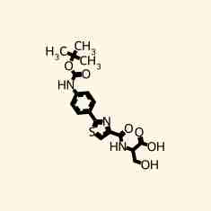 CC(C)(C)OC(=O)Nc1ccc(-c2nc(C(=O)NC(CO)C(=O)O)cs2)cc1